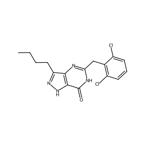 CCCCc1n[nH]c2c(=O)[nH]c(Cc3c(Cl)cccc3Cl)nc12